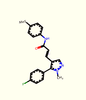 CSc1ccc(NC(=O)/C=C/c2cnn(C)c2-c2ccc(F)cc2)cc1